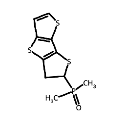 CP(C)(=O)C1Cc2sc3ccsc3c2S1